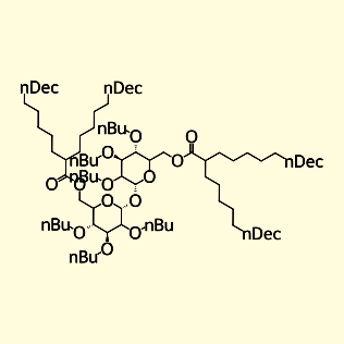 CCCCCCCCCCCCCCCC(CCCCCCCCCCCCCCC)C(=O)OCC1O[C@H](O[C@H]2OC(COC(=O)C(CCCCCCCCCCCCCCC)CCCCCCCCCCCCCCC)[C@@H](OCCCC)[C@H](OCCCC)C2OCCCC)C(OCCCC)[C@@H](OCCCC)[C@@H]1OCCCC